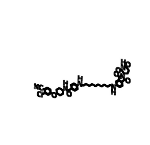 N#Cc1ccc(O[C@H]2CC[C@H](NC(=O)c3ccc(NCCCCCCCCCCNc4ccc5c(c4)C(=O)N(C4CCC(=O)NC4=O)C5=O)cc3)CC2)cc1Cl